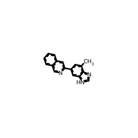 Cc1cc(-c2cc3ccccc3cn2)cc2[nH]cnc12